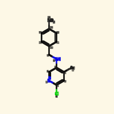 CC(=O)c1cc(Cl)ncc1NCc1ccc([N+](=O)[O-])cc1